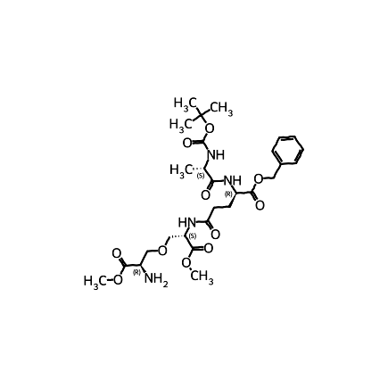 COC(=O)[C@H](N)COC[C@H](NC(=O)CC[C@@H](NC(=O)[C@H](C)NC(=O)OC(C)(C)C)C(=O)OCc1ccccc1)C(=O)OC